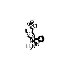 CCOCc1nc2c(N)nc3ccccc3c2n1CCCCS(=O)(=O)Cl